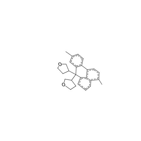 Cc1ccc2c(c1)C(C1CCOC1)(C1CCOC1)c1cccc3c(C)ccc-2c13